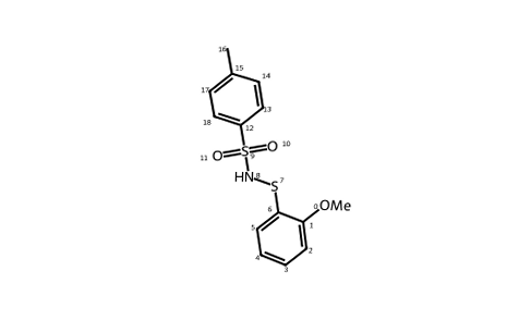 COc1ccccc1SNS(=O)(=O)c1ccc(C)cc1